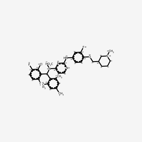 Cc1cc(C)c(C(c2c(F)ccc(F)c2Cl)N(C(=O)O)c2ccnc(Nc3ccc(OCC4CCCN(C)C4)c(F)c3)n2)c(C)c1